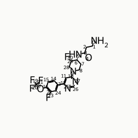 NCCC(=O)N[C@@H]1CCN(c2cc(-c3ccc(OC(F)(F)F)c(F)c3)ncn2)C[C@H]1F